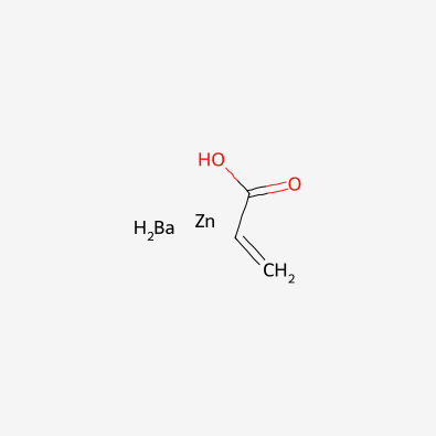 C=CC(=O)O.[BaH2].[Zn]